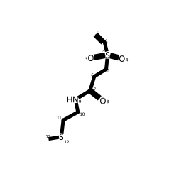 C=CS(=O)(=O)CCC(=O)NCCSC